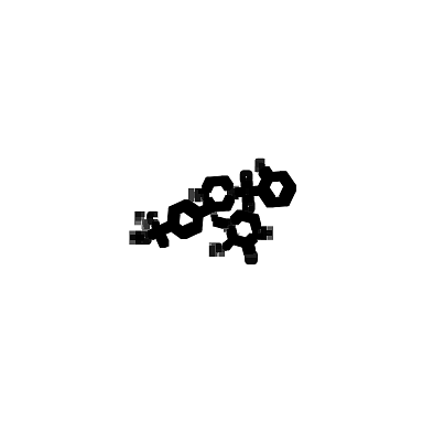 CC(C)[C@@H]1C(=O)NCCN1C[C@@]1(c2ccc([C@](C)(O)C(F)(F)F)cc2)CN(S(=O)(=O)C2=CC=CCC2=S)CCN1